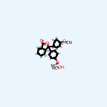 N#CO.N#COc1ccc(C2(c3ccc(OC#N)cc3)OC(=O)c3ccccc32)cc1